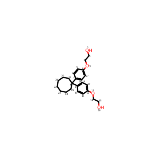 OCCOc1ccc(C2(c3ccc(OCCO)cc3)CCCCCCC2)cc1